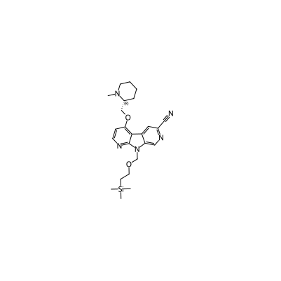 CN1CCCC[C@@H]1COc1ccnc2c1c1cc(C#N)ncc1n2COCC[Si](C)(C)C